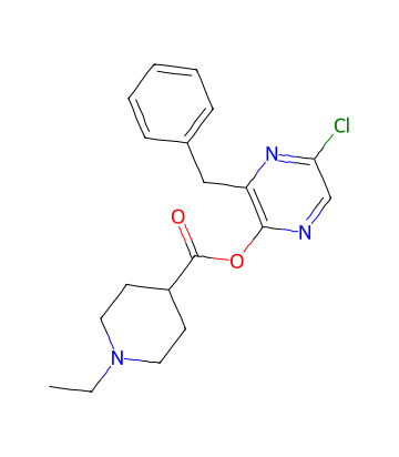 CCN1CCC(C(=O)Oc2ncc(Cl)nc2Cc2ccccc2)CC1